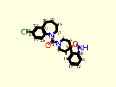 O=C(N1CCC2(CC1)ONc1ccccc12)N1CCCCc2cc(Cl)ccc21